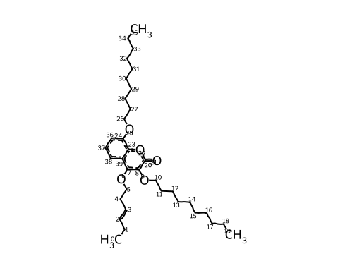 CCC=CCCOc1c(OCCCCCCCCCC)c(=O)oc2c(OCCCCCCCCCC)cccc12